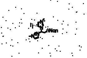 CCCCCCCCCCC(n1cc[n+](C)c1)n1cc[n+](C)c1.[I-].[I-]